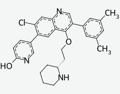 Cc1cc(C)cc(-c2cnc3cc(Cl)c(-c4ccc(O)nc4)cc3c2OCC[C@H]2CCCCN2)c1